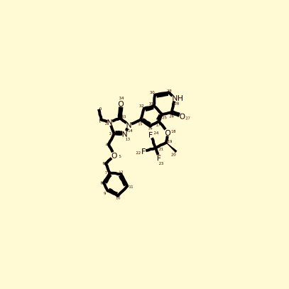 CCn1c(COCc2ccccc2)nn(-c2cc(O[C@@H](C)C(F)(F)F)c3c(=O)[nH]ccc3c2)c1=O